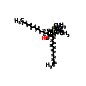 CCCCCCCCCCCCc1cc(SC(C)(C)CC(C)(C)C)cc(CCCCCCCCCCCC)c1O